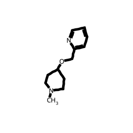 CN1CCC(OCc2ccccn2)CC1